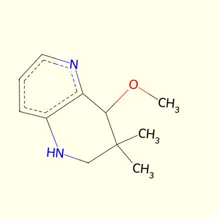 COC1c2ncccc2NCC1(C)C